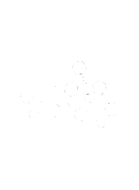 CC1C=CC2Sc3ccccc3C3(c4ccccc4C4(C)C=CC(N(c5ccc6c(c5)C5(c7ccccc7Sc7ccccc75)c5ccccc5-6)c5ccc6c7ccccc7n(-c7ccccc7)c6c5)=CC43)C2C1